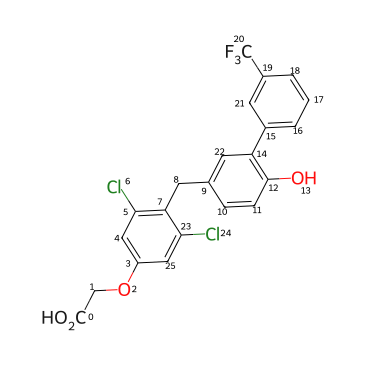 O=C(O)COc1cc(Cl)c(Cc2ccc(O)c(-c3cccc(C(F)(F)F)c3)c2)c(Cl)c1